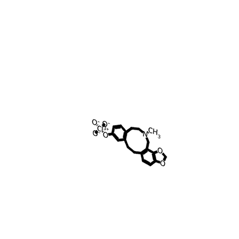 CN1CCc2ccc(O[Cl+3]([O-])([O-])[O-])cc2CCc2ccc3c(c2C1)OCO3